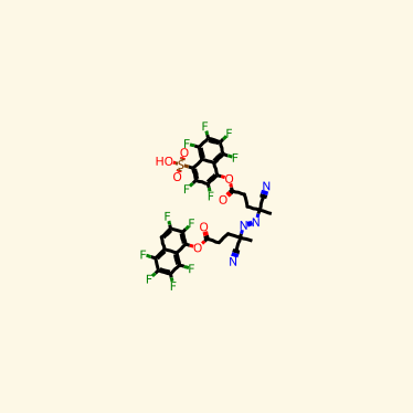 CC(C#N)(CCC(=O)Oc1c(F)c(F)cc2c(F)c(F)c(F)c(F)c12)N=NC(C)(C#N)CCC(=O)Oc1c(F)c(F)c(S(=O)(=O)O)c2c(F)c(F)c(F)c(F)c12